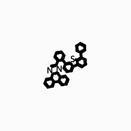 c1ccc(-c2cccc3c2sc2c(-c4ccccc4-c4cnc5c6ccccc6c6ccccc6c5n4)cccc23)cc1